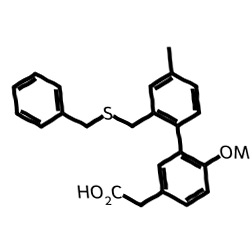 COc1ccc(CC(=O)O)cc1-c1ccc(C)cc1CSCc1ccccc1